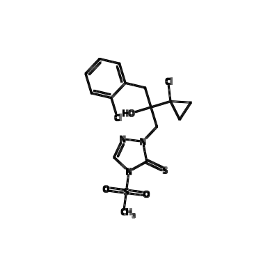 CS(=O)(=O)n1cnn(CC(O)(Cc2ccccc2Cl)C2(Cl)CC2)c1=S